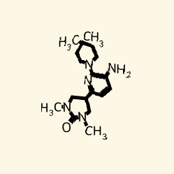 CN1CC(c2ccc(N)c(N3CCC(C)(C)CC3)n2)CN(C)C1=O